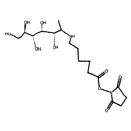 CC(NCCCCCC(=O)ON1C(=O)CCC1=O)[C@H](O)[C@@H](O)[C@H](O)[C@H](O)CO